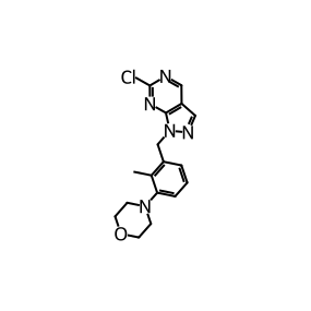 Cc1c(Cn2ncc3cnc(Cl)nc32)cccc1N1CCOCC1